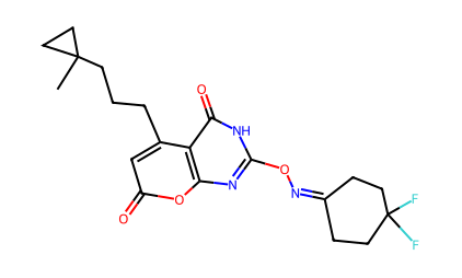 CC1(CCCc2cc(=O)oc3nc(ON=C4CCC(F)(F)CC4)[nH]c(=O)c23)CC1